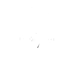 C[C@H](O)C1(NO)CCCCCCCC1